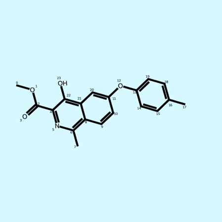 COC(=O)c1nc(C)c2ccc(Oc3ccc(C)cc3)cc2c1O